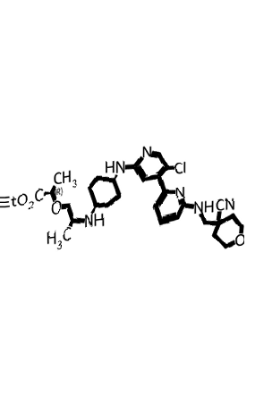 CCOC(=O)[C@@H](C)OCC(C)N[C@H]1CC[C@H](Nc2cc(-c3cccc(NCC4(C#N)CCOCC4)n3)c(Cl)cn2)CC1